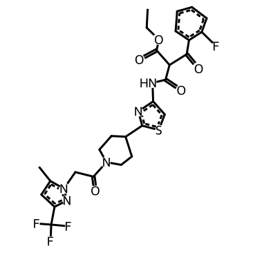 CCOC(=O)C(C(=O)Nc1csc(C2CCN(C(=O)Cn3nc(C(F)(F)F)cc3C)CC2)n1)C(=O)c1ccccc1F